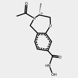 CC(=O)N1Cc2ccc(C(=O)NO)cc2OC[C@H]1C